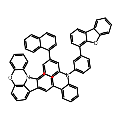 c1cc(-c2cccc3ccccc23)cc(N(c2cccc(-c3cccc4c3oc3ccccc34)c2)c2ccccc2-c2ccc3c(c2)c2cccc4c2n3-c2ccccc2O4)c1